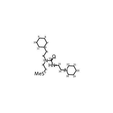 CSCCN(CCC1CCCCC1)C(=O)NCCN1CCCCC1